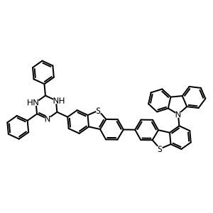 c1ccc(C2=NC(c3ccc4c(c3)sc3cc(-c5ccc6c(c5)sc5cccc(-n7c8ccccc8c8ccccc87)c56)ccc34)NC(c3ccccc3)N2)cc1